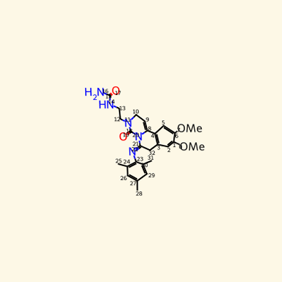 COc1cc2c(cc1OC)C1=CCN(CCNC(N)=O)C(=O)N1C(=Nc1c(C)cc(C)cc1C)C2